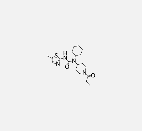 CCC(=O)N1CCC(N(C(=O)Nc2ncc(C)s2)C2CCCCC2)CC1